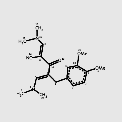 COc1ccc(CC(=CN(C)C)C(=O)C(C#N)=CN(C)C)cc1OC